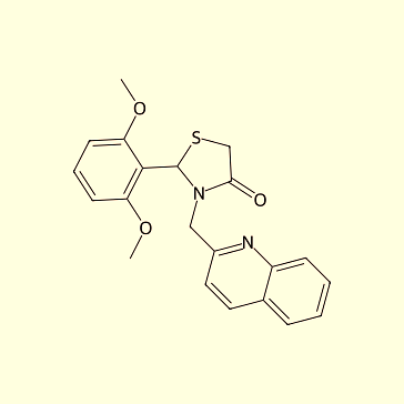 COc1cccc(OC)c1C1SCC(=O)N1Cc1ccc2ccccc2n1